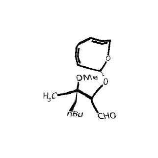 CCCC[C@@](C)(OC)C(C=O)O[C@@H]1C=CC=CO1